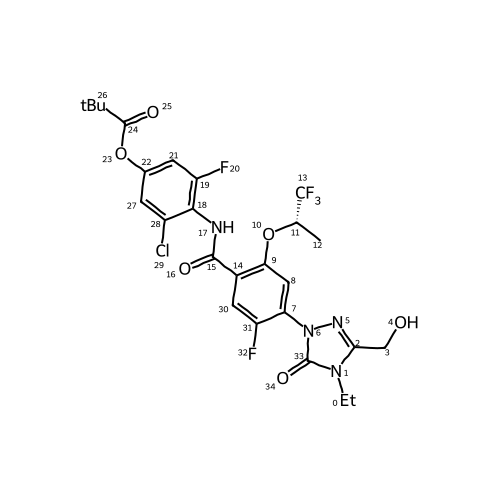 CCn1c(CO)nn(-c2cc(O[C@@H](C)C(F)(F)F)c(C(=O)Nc3c(F)cc(OC(=O)C(C)(C)C)cc3Cl)cc2F)c1=O